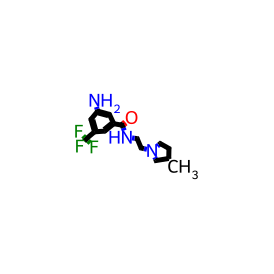 CC1CCN(CCNC(=O)c2cc(N)cc(C(F)(F)F)c2)C1